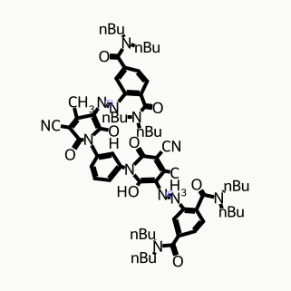 CCCCN(CCCC)C(=O)c1ccc(C(=O)N(CCCC)CCCC)c(/N=N/c2c(C)c(C#N)c(=O)n(-c3cccc(-n4c(O)c(/N=N/c5cc(C(=O)N(CCCC)CCCC)ccc5C(=O)N(CCCC)CCCC)c(C)c(C#N)c4=O)c3)c2O)c1